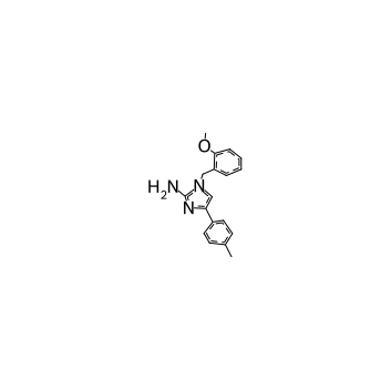 COc1ccccc1Cn1cc(-c2ccc(C)cc2)nc1N